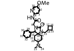 COc1ccc(NC(=O)CN2C(=O)N(CC3CCC3)C3(CCC(N(C)C)CC3)C2c2ccccc2)nc1